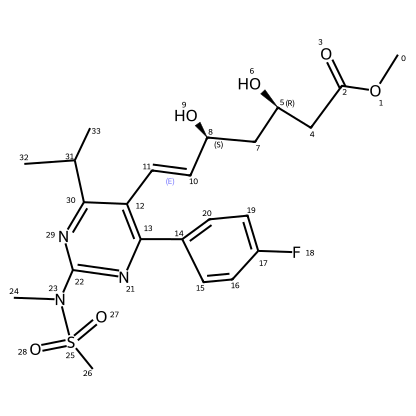 COC(=O)C[C@H](O)C[C@H](O)/C=C/c1c(-c2ccc(F)cc2)nc(N(C)S(C)(=O)=O)nc1C(C)C